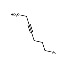 CC(=O)CCCC#CCC(=O)O